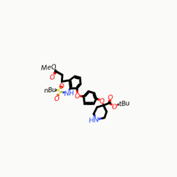 CCCCS(=O)(=O)Nc1c(CCC(=O)OC)cccc1Oc1ccc(OC2(C(=O)OC(C)(C)C)CCNCC2)cc1